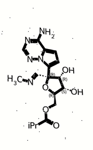 CN=C[C@@]1(c2ccc3c(N)ncnn23)O[C@H](COC(=O)C(C)C)[C@@H](O)[C@H]1O